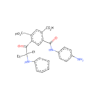 CCC(CC)(Nc1ccccc1)C(=O)c1cc(C(=O)Nc2ccc(N)cc2)c(C(=O)O)cc1C(=O)O